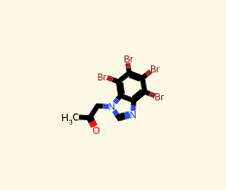 CC(=O)Cn1cnc2c(Br)c(Br)c(Br)c(Br)c21